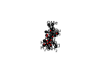 COc1ccc(CSC[C@@H](C(=O)OCc2ccccc2)N(C(=O)OC(C)(C)C)C(=O)[C@H](COCc2ccccc2)NC(=O)[C@@H](NC(=O)[C@H](Cc2ccccc2)NC(=O)[C@@H](NC(=O)[C@H](CCCC(N)C(=O)OCc2ccccc2Cl)NC(=O)[C@H](Cc2c[nH]c3ccccc23)NC(=O)[C@H](Cc2ccccc2)NC(=O)[C@H](Cc2ccccc2)NC(=O)[C@@H](N)CC(N)=O)[C@@H](C)OCc2ccccc2)[C@@H](C)OCc2ccccc2)cc1